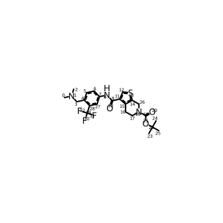 CN(C)Cc1ccc(NC(=O)c2csc3c2CCN(C(=O)OC(C)(C)C)C3)cc1C(F)(F)F